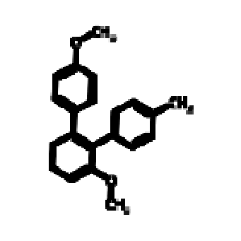 COC1=CC[CH]C(c2ccc(OC)cc2)=C1c1ccc(C)cc1